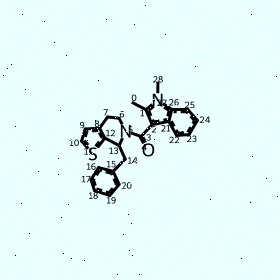 Cc1c(C(=O)N2CCc3ccsc3C2Cc2ccccc2)c2ccccc2n1C